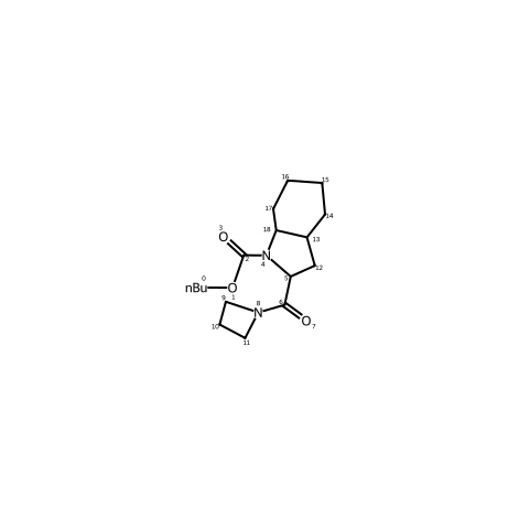 CCCCOC(=O)N1C(C(=O)N2CCC2)CC2CCCCC21